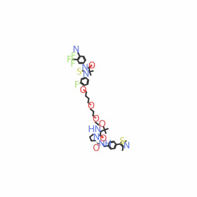 Cc1ncsc1-c1ccc(CNC(=O)[C@@H]2CCCN2C(=O)C(NC(=O)COCCCOCCCCOc2ccc(N3C(=S)N(c4ccc(C#N)c(C(F)(F)F)c4)C(=O)C3(C)C)cc2F)C(C)(C)C)cc1